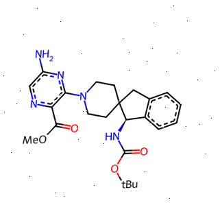 COC(=O)c1ncc(N)nc1N1CCC2(CC1)Cc1ccccc1[C@H]2NC(=O)OC(C)(C)C